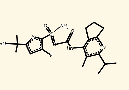 Cc1c(C(C)C)nc2c(c1NC(=O)N=[S@](N)(=O)c1sc(C(C)(C)O)cc1F)CCC2